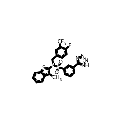 Cc1c(N(Cc2ccc(F)c(C(F)(F)F)c2)S(=O)(=O)c2cccc(-c3nnn[nH]3)c2)sc2ccccc12